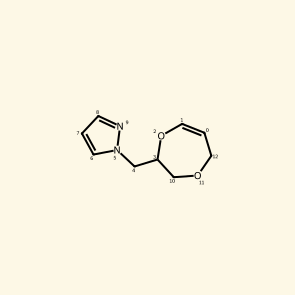 C1=COC(Cn2cccn2)COC1